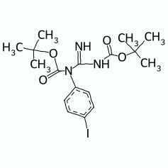 CC(C)(C)OC(=O)NC(=N)N(C(=O)OC(C)(C)C)c1ccc(I)cc1